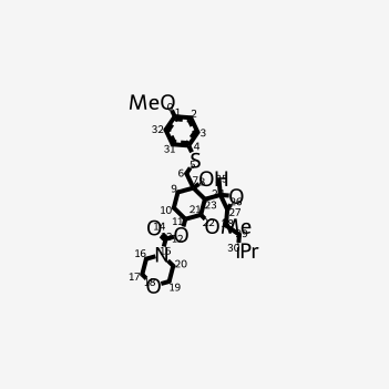 COc1ccc(SCC2(O)CCC(OC(=O)N3CCOCC3)C(OC)C2C2(C)OC2CCC(C)C)cc1